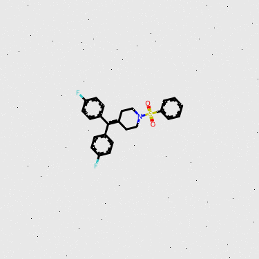 O=S(=O)(c1ccccc1)N1CCC(=C(c2ccc(F)cc2)c2ccc(F)cc2)CC1